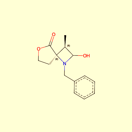 C[C@H]1C(O)N(Cc2ccccc2)[C@]12CCOC2=O